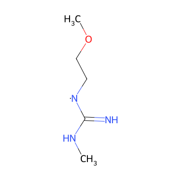 CNC(=N)[N]CCOC